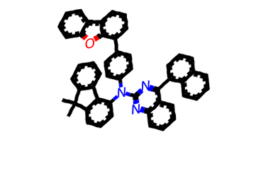 CC1(C)c2ccccc2-c2c(N(c3ccc(-c4cccc5c4oc4ccccc45)cc3)c3nc(-c4cccc5ccccc45)c4ccccc4n3)cccc21